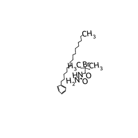 CCC(Br)(CC)C(=O)NC(N)=O.CCCCCCCCCCCCCCCCc1ccccc1